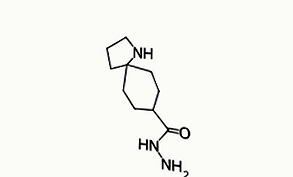 NNC(=O)C1CCC2(CCCN2)CC1